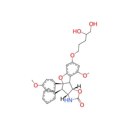 COc1ccc([C@@]23Oc4cc(OCCCC(O)CO)cc(OC)c4C2[C@@H]2OC(=O)N[C@@H]2[C@H]3c2ccccc2)cc1